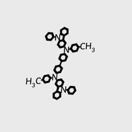 Cc1ccc(N(c2ccc(-c3ccc(N(c4ccc(C)cc4)c4ccc5c(c4)c4ccccc4n5-c4ccccc4)cc3)cc2)c2ccc3c(c2)c2ccccc2n3-c2ccccc2)cc1